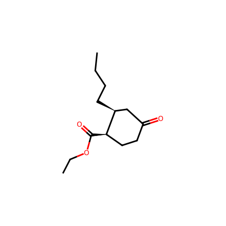 CCCC[C@H]1CC(=O)CC[C@H]1C(=O)OCC